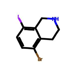 Brc1ccc(I)c2c1CCNC2